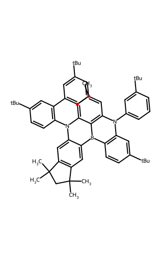 Cc1cc2c3c(c1)N(c1ccc(C(C)(C)C)cc1-c1cccc(C(C)(C)C)c1)c1cc4c(cc1B3c1ccc(C(C)(C)C)cc1N2c1cccc(C(C)(C)C)c1)C(C)(C)CC4(C)C